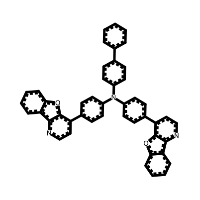 c1ccc(-c2ccc(N(c3ccc(-c4ccnc5c4oc4ccccc45)cc3)c3ccc(-c4ccnc5c4oc4ccccc45)cc3)cc2)cc1